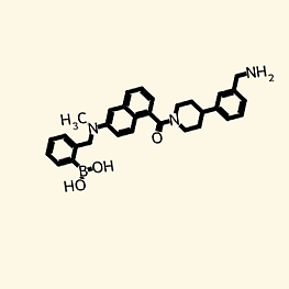 CN(Cc1ccccc1B(O)O)c1ccc2c(C(=O)N3CCC(c4cccc(CN)c4)CC3)cccc2c1